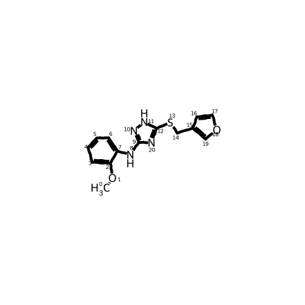 COc1ccccc1Nc1n[nH]c(SCc2ccoc2)n1